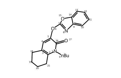 CCCCn1c2c(cc(Oc3nc4ccccc4o3)c1=O)CCCC2